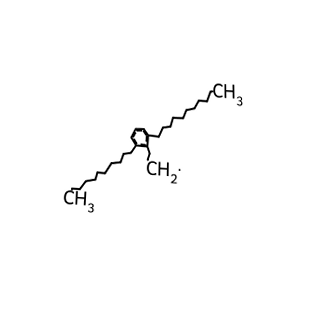 [CH2]CCc1c(CCCCCCCCCCC)cccc1CCCCCCCCCCC